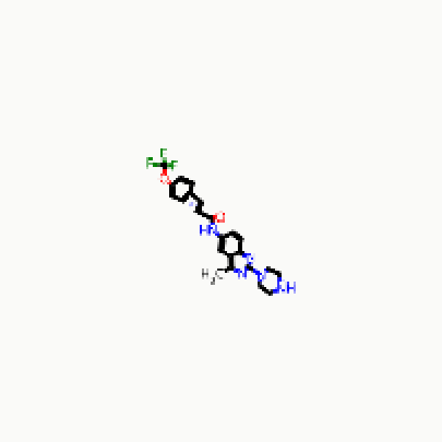 Cc1nc(N2CCNCC2)nc2ccc(NC(=O)/C=C/c3ccc(OC(F)(F)F)cc3)cc12